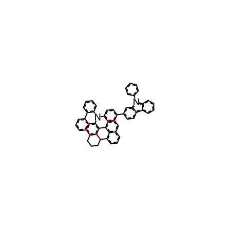 c1ccc(-c2ccccc2N(c2ccc(-c3ccc4c5ccccc5n(-c5ccccc5)c4c3)cc2)c2ccccc2-c2cccc3cccc(C4CCCCC4)c23)cc1